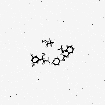 CN(C)c1nc(N[C@H]2CC[C@@H](CNC(=O)C(O)c3cc(F)cc(F)c3)CC2)nc2ccccc12.O=C(O)C(F)(F)F